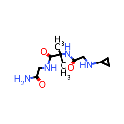 CC(C)(NC(=O)CNC1CC1)C(=O)NCC(N)=O